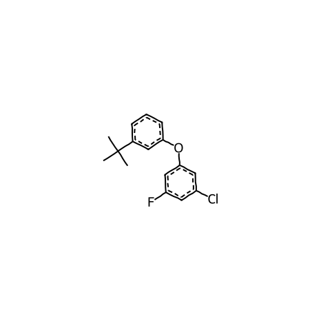 CC(C)(C)c1cccc(Oc2cc(F)cc(Cl)c2)c1